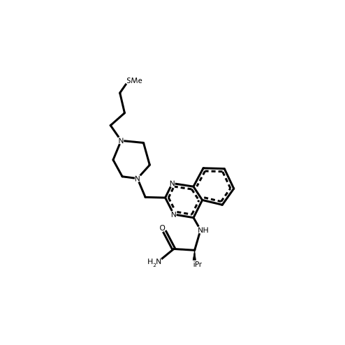 CSCCCN1CCN(Cc2nc(N[C@H](C(N)=O)C(C)C)c3ccccc3n2)CC1